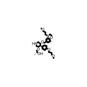 COCCCOc1ccc([C@@H]2[C@@H](OCc3ccc4c(c3)N(CCCOC)CCO4)CNC[C@H]2OC[C@@H](C)O)cc1